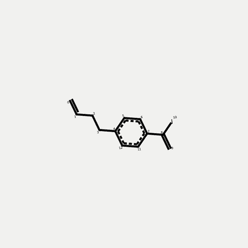 C=CCCc1ccc(C(=C)I)cc1